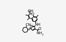 CC1=C(C)c2cc(Nc3nn([C@H]4CCCCC4C#N)cc3C(N)=O)cc(C)c2OB1O